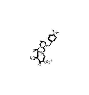 CN(C)c1ccc(CN2CCCN3C(=O)c4c(O)c(=O)c(C(=O)O)cn4CC23)cc1